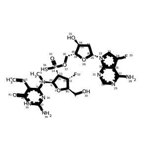 C=Nc1c(N(C)[C@@H]2O[C@H](CO)[C@@H](F)[C@H]2P(=O)(S)OC[C@H]2O[C@@H](n3cc(F)c4c(N)ncnc43)C[C@@H]2O)nc(N)[nH]c1=O